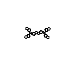 c1cc2c(cc1N(c1ccc3c(c1)CCC3)c1ccc3c(c1)CC1=C3Cc3cc(N(c4ccc5c(c4)CCC5)c4ccc5c(c4)CCC5)ccc31)CCC2